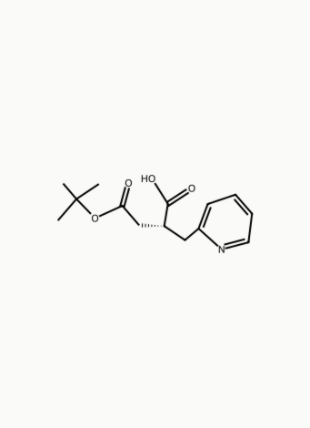 CC(C)(C)OC(=O)C[C@@H](Cc1ccccn1)C(=O)O